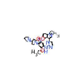 COc1cc(N2CCC(N3CCCC3)CC2)c([N+](=O)[O-])cc1Nc1nccc(-c2cn(C)c3ccccc23)n1